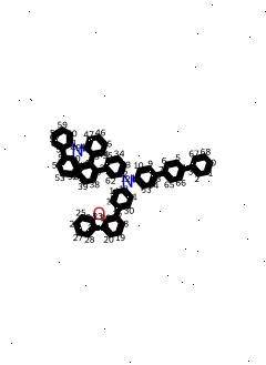 c1ccc(-c2ccc(-c3ccc(N(c4ccc(-c5cccc6c5oc5ccccc56)cc4)c4cccc(-c5ccccc5-c5ccccc5-n5c6ccccc6c6ccccc65)c4)cc3)cc2)cc1